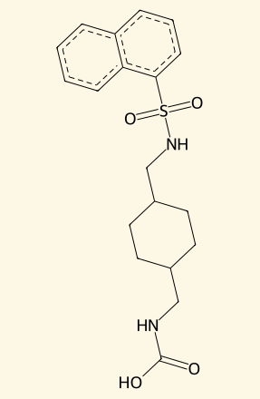 O=C(O)NCC1CCC(CNS(=O)(=O)c2cccc3ccccc23)CC1